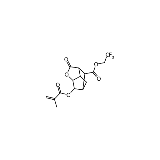 C=C(C)C(=O)OC1C2CC3C1OC(=O)C3C2C(=O)OCC(F)(F)F